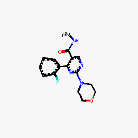 CCCCNC(=O)c1cnc(N2CCOCC2)nc1-c1ccccc1F